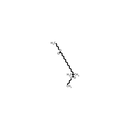 CCCCCOC(=O)CCCCCCCCCCCCCC(C)(C)C(=O)OCCCCC